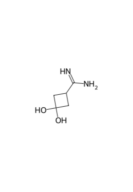 N=C(N)C1CC(O)(O)C1